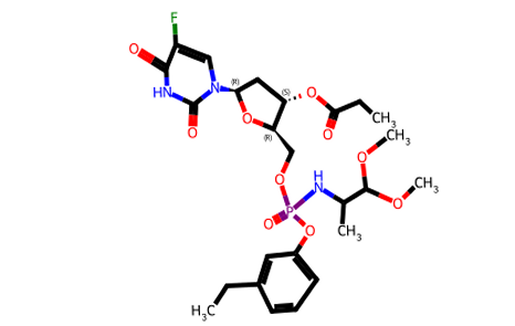 CCC(=O)O[C@H]1C[C@H](n2cc(F)c(=O)[nH]c2=O)O[C@@H]1COP(=O)(NC(C)C(OC)OC)Oc1cccc(CC)c1